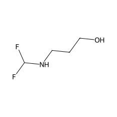 OCCCNC(F)F